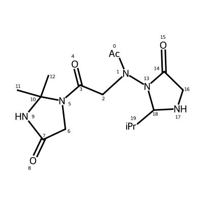 CC(=O)N(CC(=O)N1CC(=O)NC1(C)C)N1C(=O)CNC1C(C)C